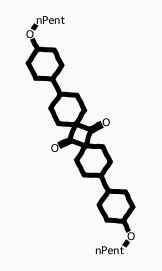 CCCCCOC1CCC(C2CCC3(CC2)C(=O)C2(CCC(C4CCC(OCCCCC)CC4)CC2)C3=O)CC1